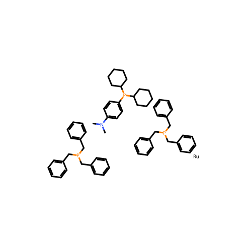 CN(C)c1ccc(P(C2CCCCC2)C2CCCCC2)cc1.[Ru].c1ccc(CP(Cc2ccccc2)Cc2ccccc2)cc1.c1ccc(CP(Cc2ccccc2)Cc2ccccc2)cc1